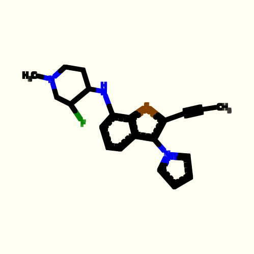 CC#Cc1sc2c(NC3CCN(C)CC3F)cccc2c1-n1cccc1